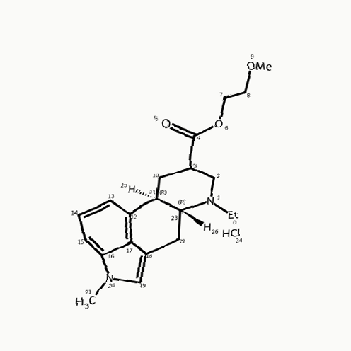 CCN1CC(C(=O)OCCOC)C[C@@H]2c3cccc4c3c(cn4C)C[C@H]21.Cl